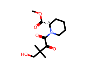 COC(=O)[C@@H]1CCCCN1C(=O)C(=O)C(C)(C)CO